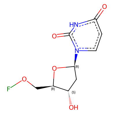 O=c1ccn([C@H]2C[C@H](O)[C@@H](COF)O2)c(=O)[nH]1